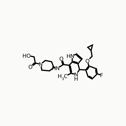 CC1=C(C(=O)NC2CCN(C(=O)CO)CC2)c2[nH]ccc2C(c2ccc(F)cc2OCC2CC2)N1